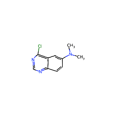 CN(C)c1ccc2ncnc(Cl)c2c1